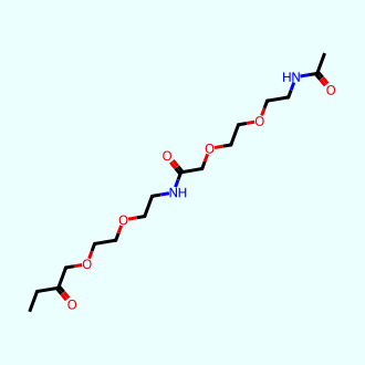 CCC(=O)COCCOCCNC(=O)COCCOCCNC(C)=O